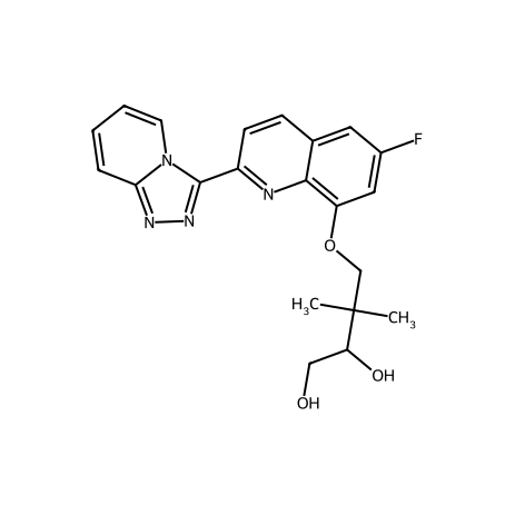 CC(C)(COc1cc(F)cc2ccc(-c3nnc4ccccn34)nc12)C(O)CO